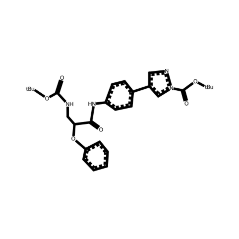 CC(C)(C)OC(=O)NCC(Oc1ccccc1)C(=O)Nc1ccc(-c2cnn(C(=O)OC(C)(C)C)c2)cc1